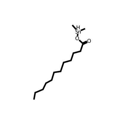 CCCCCCCCCCCC(=O)[O][SnH]([CH3])[CH3]